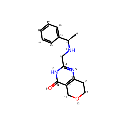 C[C@@H](NCc1nc2c(c(=O)[nH]1)COCC2)c1ccccc1